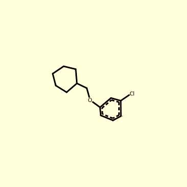 Clc1[c]ccc(OCC2CCCCC2)c1